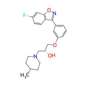 CC1CCN(C[C@@H](O)COc2cccc(-c3noc4cc(F)ccc34)c2)CC1